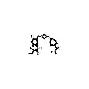 CCc1nc2cc(F)c(CN3CC(Oc4ccc(C(=O)NC)nc4)C3)cc2[nH]c1=O